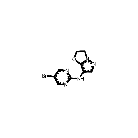 Brc1cnc(Nc2cnn3c2OCC3)nc1